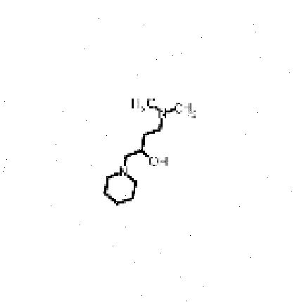 CN(C)CCC(O)CN1CCCCC1